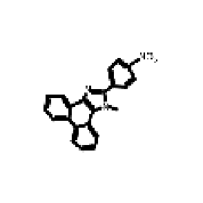 Cn1c(-c2ccc([N+](=O)[O-])cc2)nc2c3ccccc3c3ccccc3c21